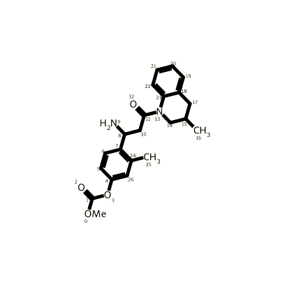 COC(=O)Oc1ccc(C(N)CC(=O)N2CC(C)Cc3ccccc32)c(C)c1